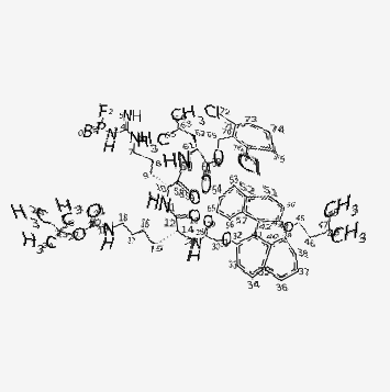 B#P(F)NC(=N)NCCC[C@@H](NC(=O)[C@@H](CCCCNC(=O)OC(C)(C)C)NC(=O)COc1ccc2ccccc2c1-c1c(OCCC(C)C)ccc2ccccc12)C(=O)N[C@@H](CC(C)C)C(=O)OCc1c(Cl)cccc1Cl